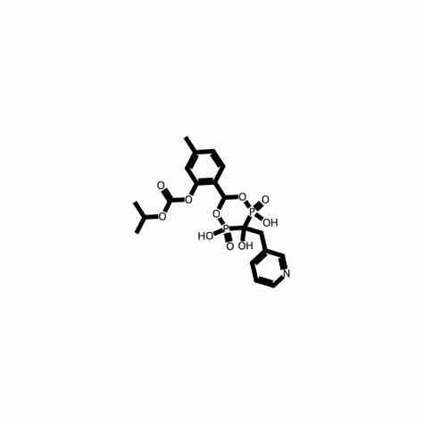 Cc1ccc(C2OP(=O)(O)C(O)(Cc3cccnc3)P(=O)(O)O2)c(OC(=O)OC(C)C)c1